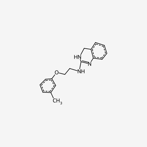 Cc1cccc(OCCNC2=Nc3ccccc3CN2)c1